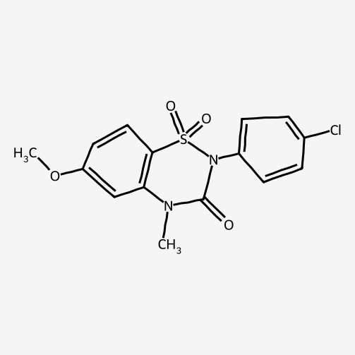 COc1ccc2c(c1)N(C)C(=O)N(c1ccc(Cl)cc1)S2(=O)=O